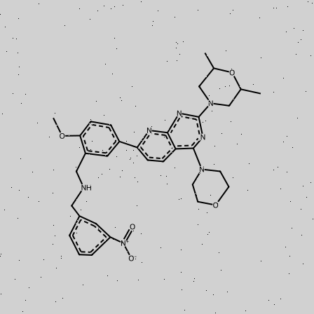 COc1ccc(-c2ccc3c(N4CCOCC4)nc(N4CC(C)OC(C)C4)nc3n2)cc1CNCc1cccc([N+](=O)[O-])c1